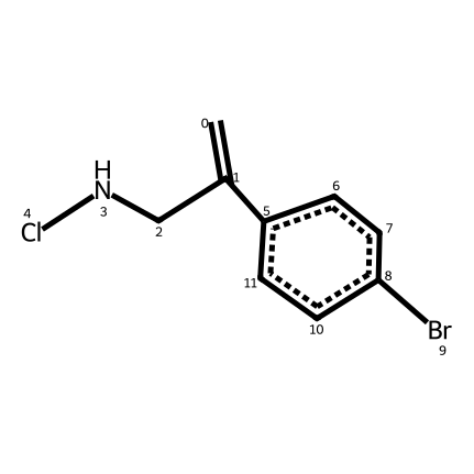 C=C(CNCl)c1ccc(Br)cc1